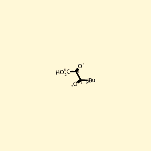 CCC(C)C(=O)C(=O)C(=O)O